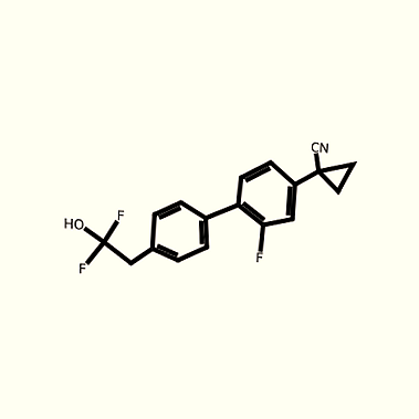 N#CC1(c2ccc(-c3ccc(CC(O)(F)F)cc3)c(F)c2)CC1